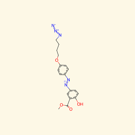 COC(=O)c1cc(/N=N/c2ccc(OCCCCN=[N+]=[N-])cc2)ccc1O